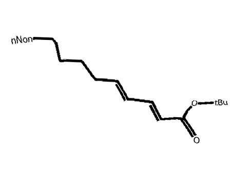 CCCCCCCCCCCCCC=CC=CC(=O)OC(C)(C)C